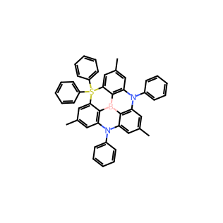 Cc1cc2c3c(c1)N(c1ccccc1)c1cc(C)cc4c1B3c1c(cc(C)cc1S4(c1ccccc1)c1ccccc1)N2c1ccccc1